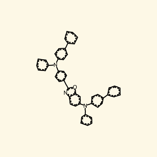 c1ccc(-c2ccc(N(c3ccccc3)c3ccc(-c4nc5ccc(N(c6ccccc6)c6ccc(-c7ccccc7)cc6)cc5o4)cc3)cc2)cc1